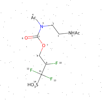 CC(=O)NCCN(C(C)=O)C(=O)OCC(F)C(F)(F)S(=O)(=O)O